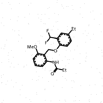 CCC(=O)Nc1cccc(OC)c1COc1ccc(CC)cc1C(F)F